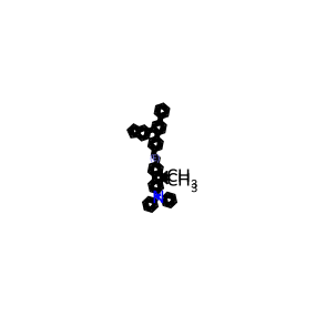 CCC1(CC)c2cc(/C=C/c3ccc(-c4ccc(-c5ccccc5)cc4C4=CCC5C=CCC5=C4)cc3)ccc2-c2ccc(N(c3ccccc3)c3ccccc3)cc21